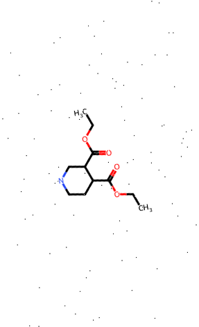 CCOC(=O)[C]1CC[N]CC1C(=O)OCC